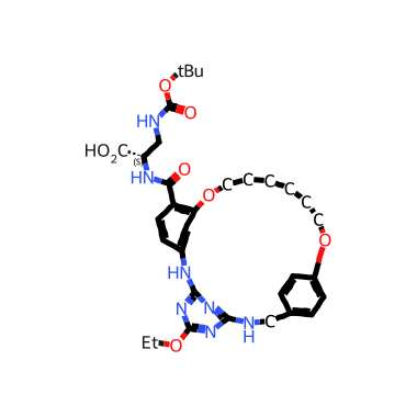 CCOc1nc2nc(n1)Nc1ccc(C(=O)N[C@@H](CNC(=O)OC(C)(C)C)C(=O)O)c(c1)OCCCCCCOc1ccc(cc1)CN2